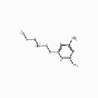 Nc1nc(N)nc(CCNCCO)n1